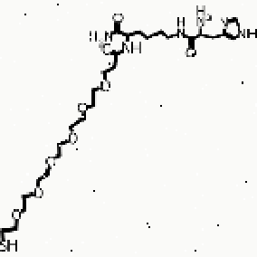 NC(=O)C(CCCCNC(=O)C(N)Cc1c[nH]cn1)NC(=O)CCOCCOCCOCCOCCOCCOCCS